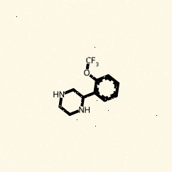 FC(F)(F)Oc1ccccc1C1CNCCN1